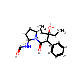 CCC(O)(CC)C(C(=O)N1CCCC1NC=O)c1ccccc1